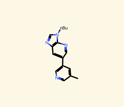 CCCCn1cnc2cc(-c3cncc(C)c3)cnc21